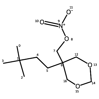 CC(C)(C)CCC1(CO[N+](=O)[O-])COCOC1